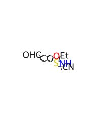 CCC(Oc1ccc2ccc(C=O)cc2c1)C(=S)NC(C)(C)C#N